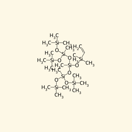 C=C[Si](C)(C)O[Si](C)(O[Si](C)(O[Si](C)(C)C)O[Si](C)(C)C)O[Si](C)(O[Si](C)(C)C)O[Si](C)(C)C